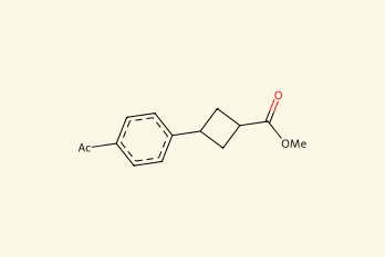 COC(=O)C1CC(c2ccc(C(C)=O)cc2)C1